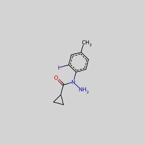 Cc1ccc(N(N)C(=O)C2CC2)c(I)c1